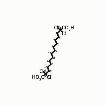 O=C(O)C(Cl)(Cl)CCCCCCCCCCCCC(Cl)(Cl)C(=O)O